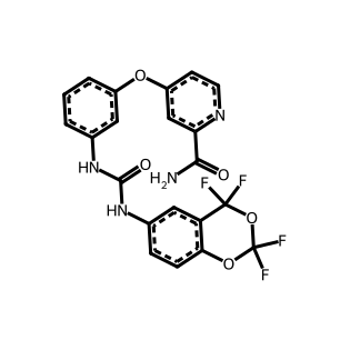 NC(=O)c1cc(Oc2cccc(NC(=O)Nc3ccc4c(c3)C(F)(F)OC(F)(F)O4)c2)ccn1